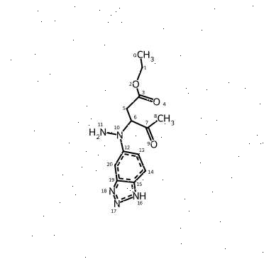 CCOC(=O)CC(C(C)=O)N(N)c1ccc2[nH]nnc2c1